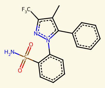 Cc1c(C(F)(F)F)nn(-c2ccccc2S(N)(=O)=O)c1-c1ccccc1